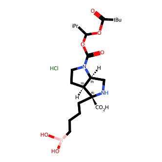 CC(C)C(OC(=O)N1CC[C@H]2[C@@H]1CN[C@@]2(CCCCB(O)O)C(=O)O)OC(=O)C(C)(C)C.Cl